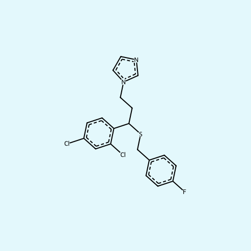 Fc1ccc(CSC(CCn2ccnc2)c2ccc(Cl)cc2Cl)cc1